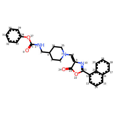 O=C(NCC1CCN(/C=C2/N=C(c3cccc4ccccc34)OC2=O)CC1)Oc1ccccc1